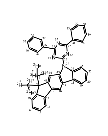 [2H]C([2H])([2H])C1(C([2H])([2H])[2H])c2ccccc2-c2cc3c4ccccc4n(-c4nc(-c5ccccc5)nc(-c5ccccc5)n4)c3cc21